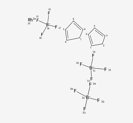 C1=CCC=C1.C1=CCC=C1.F[B-](F)(F)F.F[B-](F)(F)F.F[B-](F)(F)F.[Rh+3]